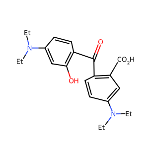 CCN(CC)c1ccc(C(=O)c2ccc(N(CC)CC)cc2C(=O)O)c(O)c1